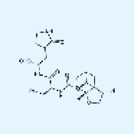 CC(C)C[C@H](NC(=O)O[C@H]1C2CO[C@H]3OC[C@@H]1C3C2)C(=O)N[C@H](C=O)CC1CCNC1=O